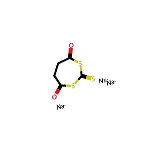 O=C1CCC(=O)SC(=S)S1.[Na].[Na].[Na]